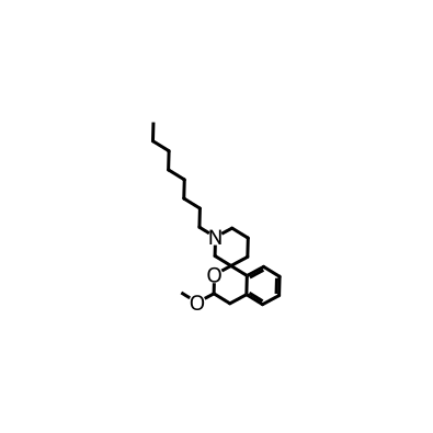 CCCCCCCCN1CCCC2(C1)OC(OC)Cc1ccccc12